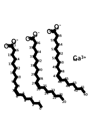 CCCCCC/C=C\CCCCCCCCCC(=O)[O-].CCCCCC/C=C\CCCCCCCCCC(=O)[O-].CCCCCC/C=C\CCCCCCCCCC(=O)[O-].[Ga+3]